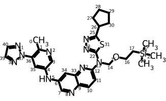 Cc1ncc(Nc2cnc3ccc(N(COCC[Si](C)(C)C)c4nnc(C5CCCC5)s4)nc3c2)cc1-n1nccn1